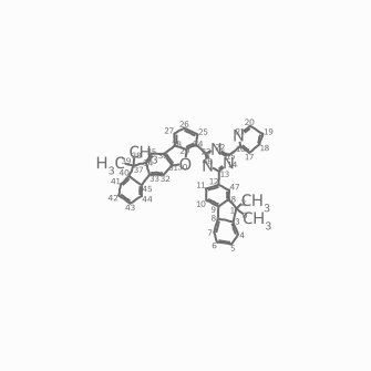 CC1(C)c2ccccc2-c2ccc(-c3nc(-c4ccccn4)nc(-c4cccc5c4oc4cc6c(cc45)C(C)(C)c4ccccc4-6)n3)cc21